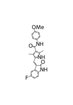 COc1ccc(NC(=O)c2c(C)[nH]c(C=C3C(=O)Nc4ccc(F)cc43)c2C)cc1